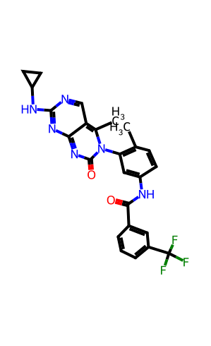 Cc1ccc(NC(=O)c2cccc(C(F)(F)F)c2)cc1-n1c(C)c2cnc(NC3CC3)nc2nc1=O